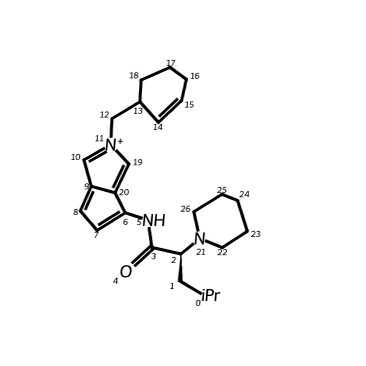 CC(C)C[C@@H](C(=O)NC1=CC=C2C=[N+](CC3C=CCCC3)C=C21)N1CCCCC1